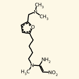 CN(C)Cc1ccc(CCCCN(C)C(N)=C[N+](=O)[O-])o1